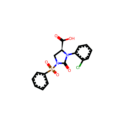 O=C(O)[C@@H]1CN(S(=O)(=O)c2ccccc2)C(=O)N1c1ccccc1Cl